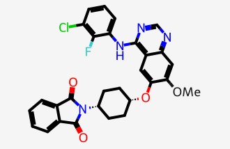 COc1cc2ncnc(Nc3cccc(Cl)c3F)c2cc1O[C@H]1CC[C@@H](N2C(=O)c3ccccc3C2=O)CC1